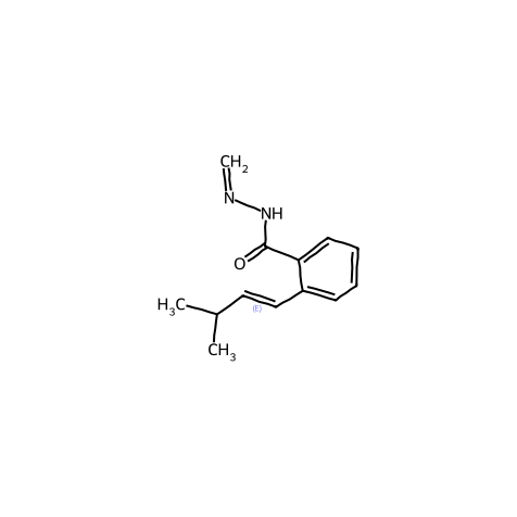 C=NNC(=O)c1ccccc1/C=C/C(C)C